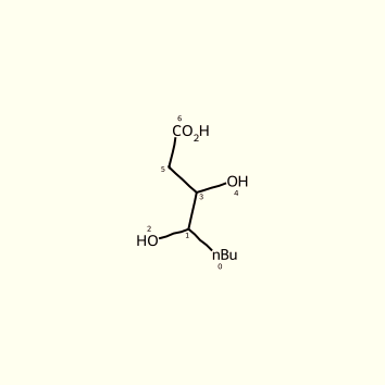 CCCCC(O)C(O)CC(=O)O